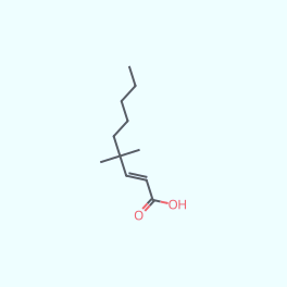 CCCCCC(C)(C)C=CC(=O)O